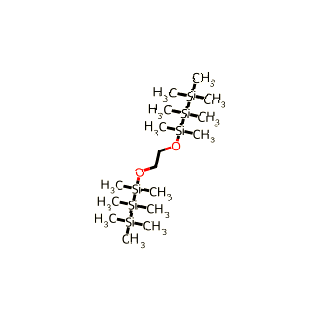 C[Si](C)(C)[Si](C)(C)[Si](C)(C)OCCO[Si](C)(C)[Si](C)(C)[Si](C)(C)C